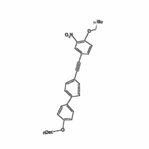 CCCCCCCCCCOc1ccc(-c2ccc(C#Cc3ccc(OC[C@@H](C)CC)c([N+](=O)[O-])c3)cc2)cc1